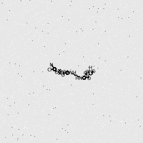 CC1(C)[C@H](NC(=O)c2ccc(NCCCCCCNc3ccc4c(c3)C(=O)N(C3CCC(=O)NC3=O)C4=O)cc2)C(C)(C)[C@H]1Oc1ccc(C#N)c(Cl)c1